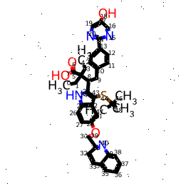 CCC(CC)(C(=O)O)C(Cc1ccc(-c2ncc(O)cn2)cc1)c1[nH]c2ccc(OCc3ccc4ccccc4n3)cc2c1SC(C)(C)C